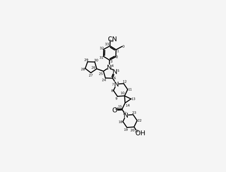 Cc1cc(N2N=C(N3CCC4(CC3)CC4C(=O)N3CCC(O)CC3)CC2C2CCCC2)ccc1C#N